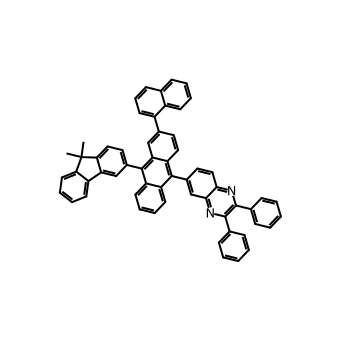 CC1(C)c2ccccc2-c2cc(-c3c4ccccc4c(-c4ccc5nc(-c6ccccc6)c(-c6ccccc6)nc5c4)c4ccc(-c5cccc6ccccc56)cc34)ccc21